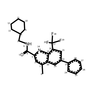 Cc1cc(C(=O)NCC2CCCCC2)nc2c(C(F)(F)F)cc(-c3ccccc3)cc12